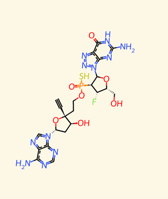 C#C[C@]1(CCOP(=O)(S)[C@H]2C(n3nnc4c(=O)[nH]c(N)nc43)O[C@H](CO)[C@@H]2F)O[C@@H](n2cnc3c(N)ncnc32)C[C@@H]1O